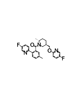 Cc1ccc(-c2ccc(F)cn2)c(C(=O)N2C[C@H](COc3ccc(F)cn3)CC[C@H]2C)c1